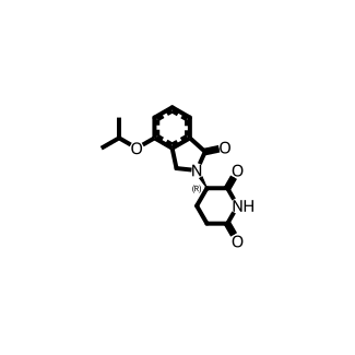 CC(C)Oc1cccc2c1CN([C@@H]1CCC(=O)NC1=O)C2=O